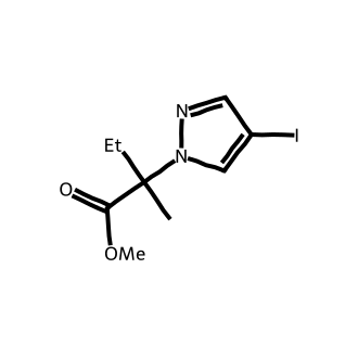 CCC(C)(C(=O)OC)n1cc(I)cn1